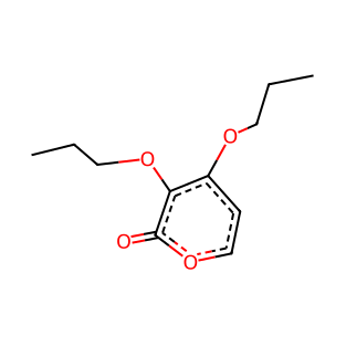 CCCOc1ccoc(=O)c1OCCC